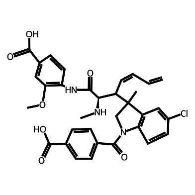 C=C/C=C\C([C@@H](NC)C(=O)Nc1ccc(C(=O)O)cc1OC)C1(C)CN(C(=O)c2ccc(C(=O)O)cc2)c2ccc(Cl)cc21